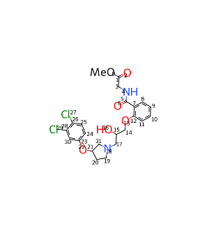 COC(=O)CNC(=O)c1ccccc1OCC(O)CN1CCC(Oc2ccc(Cl)c(Cl)c2)C1